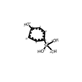 Oc1ccc([Si](O)(O)O)cc1